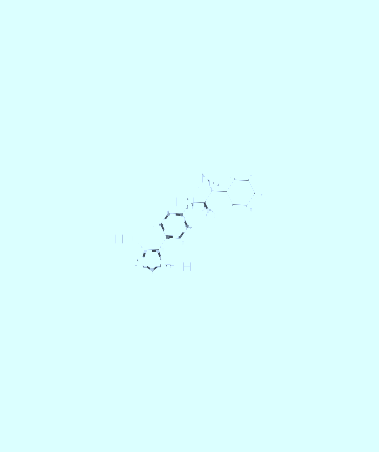 Cc1ncn(C)c1-c1ccc(NC(=O)C(N)C2CCCCC2)cc1